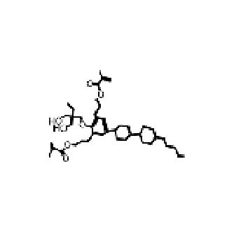 C=C(C)C(=O)OCCCc1cc(C2CCC(C3CCC(CCCCC)CC3)CC2)cc(CCCOC(=O)C(=C)C)c1OCC(CC)(CO)CO